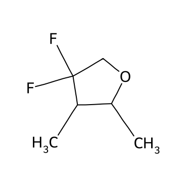 CC1OCC(F)(F)C1C